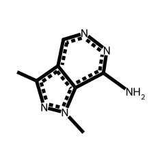 Cc1nn(C)c2c(N)nncc12